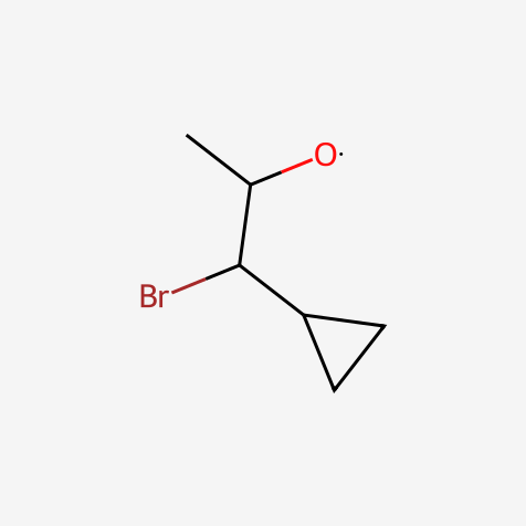 CC([O])C(Br)C1CC1